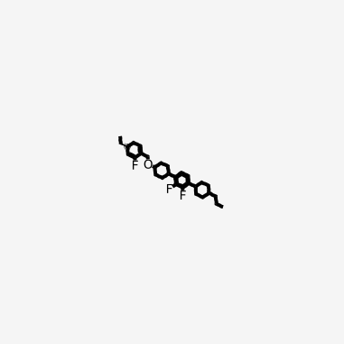 CCCC1CCC(c2ccc(C3CCC(OCC4=CC[C@H](CC)C=C4F)CC3)c(F)c2F)CC1